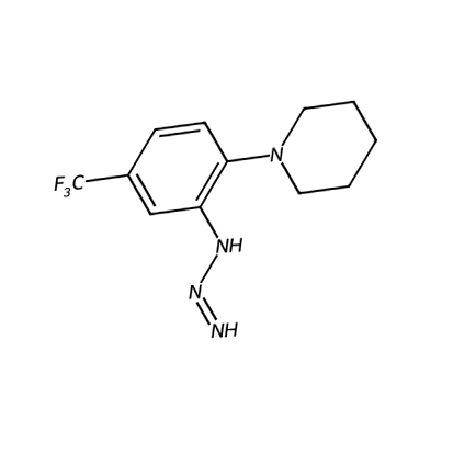 N=NNc1cc(C(F)(F)F)ccc1N1CCCCC1